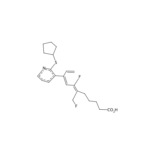 C=C/C(=C\C(F)=C(/CF)CCCCC(=O)O)c1cccnc1SC1CCCC1